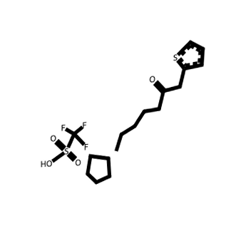 C1CCCC1.CCCCCC(=O)Cc1cccs1.O=S(=O)(O)C(F)(F)F